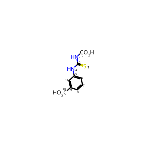 O=C(O)NC(=S)Nc1cccc(C(=O)O)c1